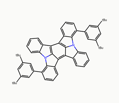 CC(C)(C)c1cc(-c2cccc3c4c5c6ccccc6n6c7c(-c8cc(C(C)(C)C)cc(C(C)(C)C)c8)cccc7c(c7c8ccccc8n(c23)c74)c56)cc(C(C)(C)C)c1